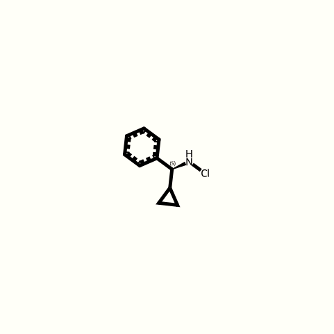 ClN[C@H](c1ccccc1)C1CC1